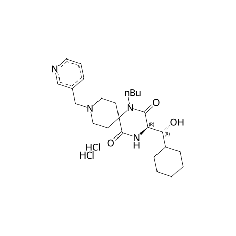 CCCCN1C(=O)[C@@H]([C@H](O)C2CCCCC2)NC(=O)C12CCN(Cc1cccnc1)CC2.Cl.Cl